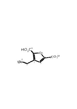 CC(C)(C)Cc1cc(C(=O)O)oc1C(=O)O